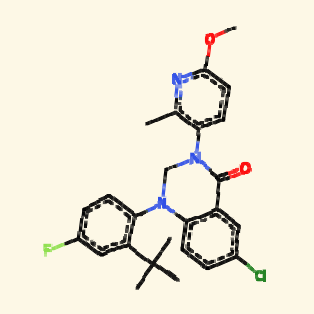 COc1ccc(N2CN(c3ccc(F)cc3C(C)(C)C)c3ccc(Cl)cc3C2=O)c(C)n1